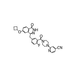 N#Cc1ccnc(N2CCN(C(=O)c3cc(Cc4n[nH]c(=O)c5ccc(OC6CCC6)cc45)ccc3F)CC2)c1